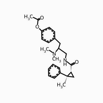 CC(=O)Oc1ccc(CC(CNC(=O)[C@@H]2C[C@@]2(C)c2ccccc2)N(C)C)cc1